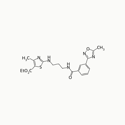 CCOC(=O)c1sc(NCCCNC(=O)c2cccc(-c3noc(C)n3)c2)nc1C